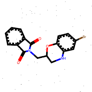 O=C1c2ccccc2C(=O)N1CC1CNc2cc(Br)ccc2O1